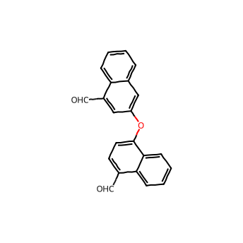 O=Cc1cc(Oc2ccc(C=O)c3ccccc23)cc2ccccc12